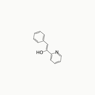 OC(=Cc1ccccc1)c1ccccn1